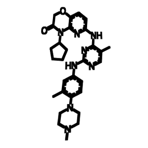 Cc1cc(Nc2ncc(C)c(Nc3ccc4c(n3)N(C3CCCC3)C(=O)CO4)n2)ccc1N1CCN(C)CC1